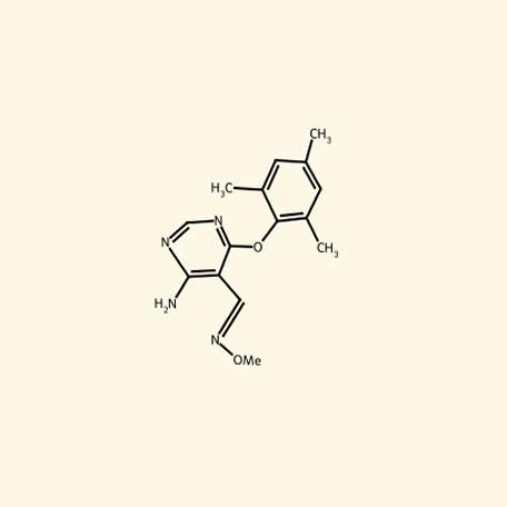 CON=Cc1c(N)ncnc1Oc1c(C)cc(C)cc1C